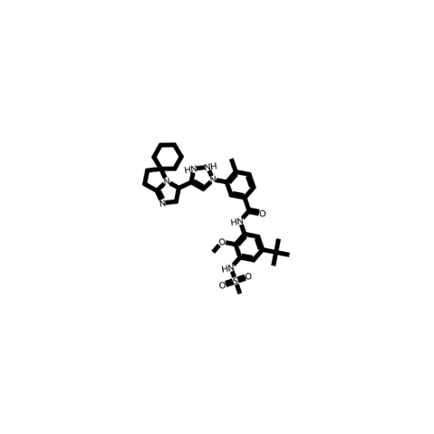 COc1c(NC(=O)c2ccc(C)c(N3C=C(C4CN=C5CCC6(CCCCC6)N54)NN3)c2)cc(C(C)(C)C)cc1NS(C)(=O)=O